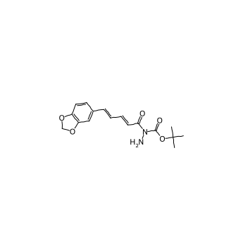 CC(C)(C)OC(=O)N(N)C(=O)C=CC=Cc1ccc2c(c1)OCO2